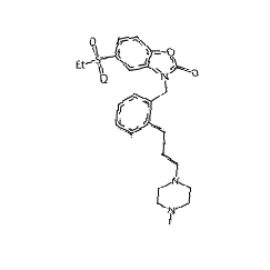 CCS(=O)(=O)c1ccc2oc(=O)n(Cc3ccc[c]c3CCCN3CCN(C)CC3)c2c1